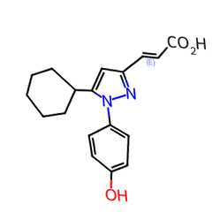 O=C(O)/C=C/c1cc(C2CCCCC2)n(-c2ccc(O)cc2)n1